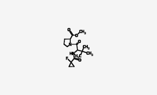 COC(=O)C1CCCN1C(=O)C(NC(=O)C1(F)CC1)C(C)(C)C